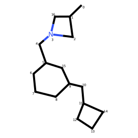 CC1CN(CC2CCCC(CC3CCC3)C2)C1